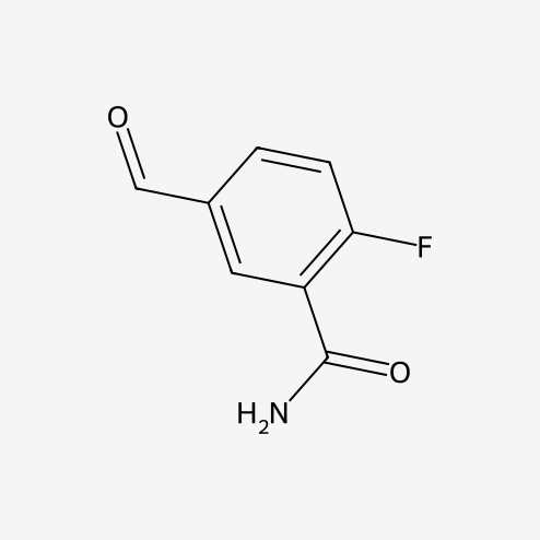 NC(=O)c1cc(C=O)ccc1F